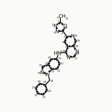 Cc1nnc(-c2cc3c(Nc4ccc5c(cnn5Cc5ccccc5)c4)ncnc3cn2)o1